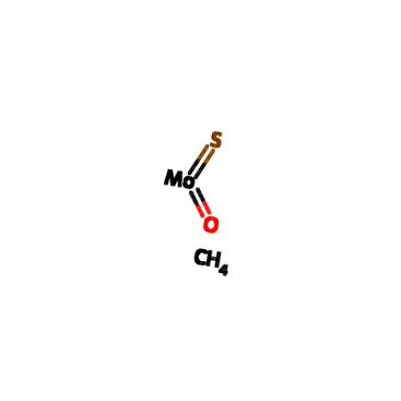 C.[O]=[Mo]=[S]